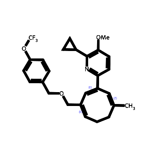 COc1ccc(C2=C/C(COCc3ccc(OC(F)(F)F)cc3)=C\CC/C(C)=C\2)nc1C1CC1